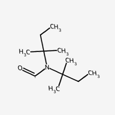 CCC(C)(C)N([C]=O)C(C)(C)CC